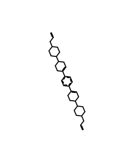 C=CCC1CCC(C2CC=C(c3ccc(C4=CCC(C5CCC(CC=C)CC5)CC4)cc3)CC2)CC1